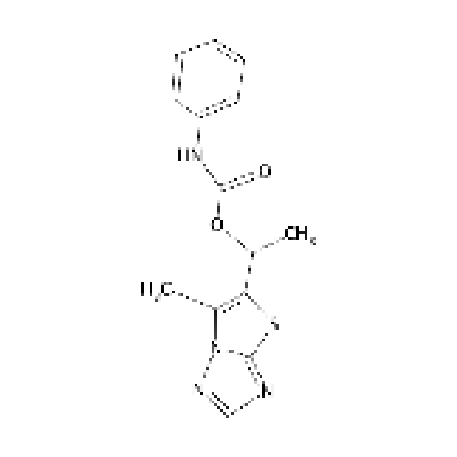 Cc1c([C@@H](C)OC(=O)Nc2ccccc2)sc2ncnn12